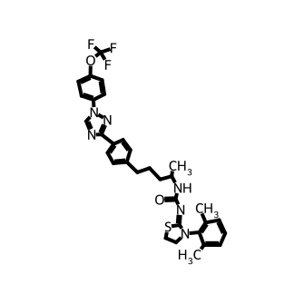 Cc1cccc(C)c1N1CCS/C1=N\C(=O)NC(C)CCCc1ccc(-c2ncn(-c3ccc(OC(F)(F)F)cc3)n2)cc1